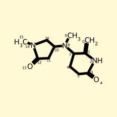 C=C1NC(=O)CCC1N(C)C1CC(=O)N(C)C1